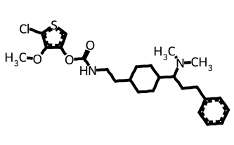 COc1c(OC(=O)NCCC2CCC(C(CCc3ccccc3)N(C)C)CC2)csc1Cl